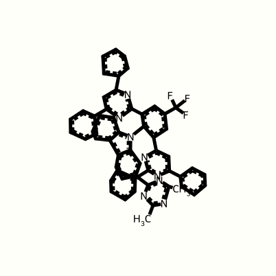 Cc1nc(C)nc(-c2ccc3c4ccccc4n(-c4c(-c5cc(-c6ccccc6)nc(-c6ccccc6)n5)cc(C(F)(F)F)cc4-c4nc(-c5ccccc5)cc(-c5ccccc5)n4)c3c2)n1